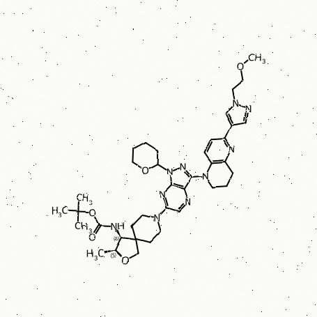 COCCn1cc(-c2ccc3c(n2)CCCN3c2nn(C3CCCCO3)c3nc(N4CCC5(CC4)CO[C@@H](C)[C@H]5NC(=O)OC(C)(C)C)cnc23)cn1